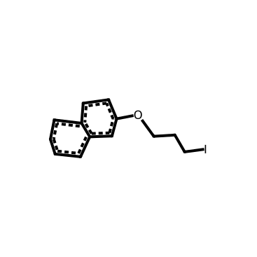 ICCCOc1ccc2ccccc2c1